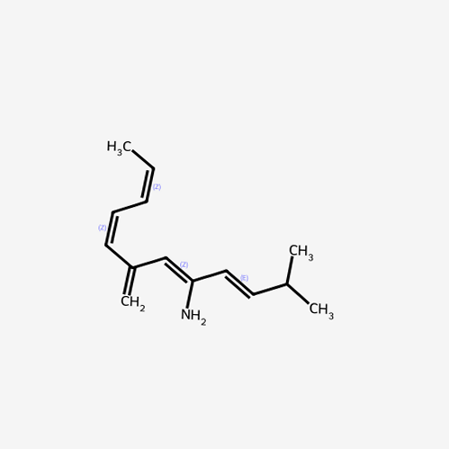 C=C(/C=C\C=C/C)/C=C(N)/C=C/C(C)C